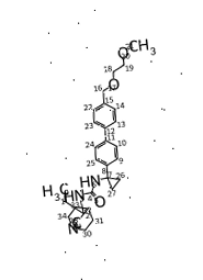 CCC1(NC(=O)NC2(c3ccc(-c4ccc(COCCOC)cc4)cc3)CC2)CN2CCC1CC2